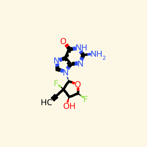 C#C[C@@]1(F)[C@H](O)[C@H](F)O[C@H]1n1cnc2c(=O)[nH]c(N)nc21